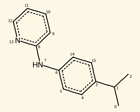 CC(C)c1ccc(Nc2ccccn2)cc1